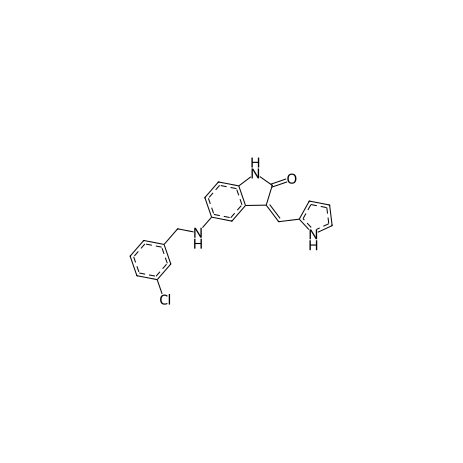 O=C1Nc2ccc(NCc3cccc(Cl)c3)cc2C1=Cc1ccc[nH]1